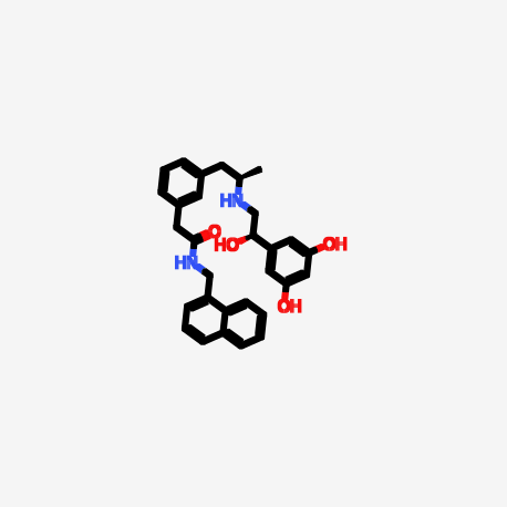 C[C@H](Cc1cccc(CC(=O)NCc2cccc3ccccc23)c1)NC[C@H](O)c1cc(O)cc(O)c1